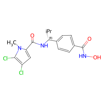 CC(C)[C@@H](NC(=O)c1cc(Cl)c(Cl)n1C)c1ccc(C(=O)NO)cc1